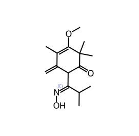 C=C1C(C)=C(OC)C(C)(C)C(=O)C1/C(=N/O)C(C)C